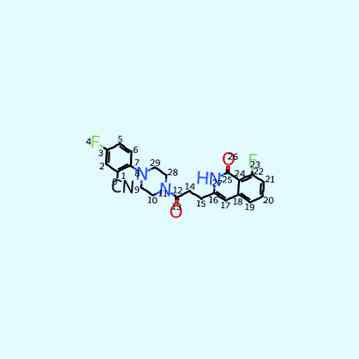 N#Cc1cc(F)ccc1N1CCN(C(=O)CCc2cc3cccc(F)c3c(=O)[nH]2)CC1